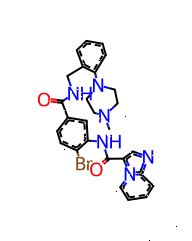 CN1CCN(c2ccccc2CNC(=O)c2ccc(Br)c(NC(=O)c3cnc4ccccn34)c2)CC1